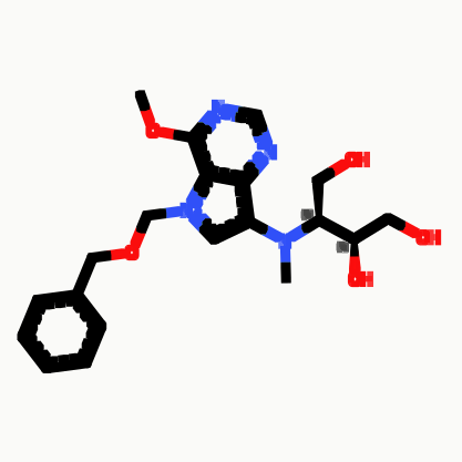 COc1ncnc2c(N(C)[C@@H](CO)[C@H](O)CO)cn(COCc3ccccc3)c12